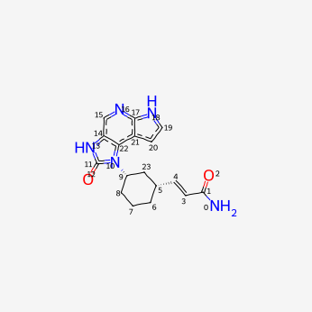 NC(=O)/C=C/[C@@H]1CCC[C@H](n2c(=O)[nH]c3cnc4[nH]ccc4c32)C1